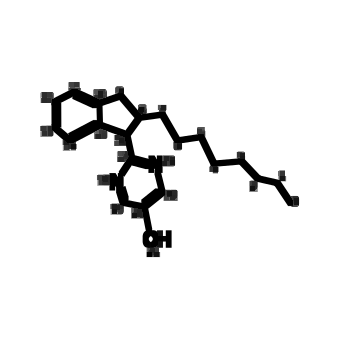 CCCCCCCCC1Cc2ccccc2C1c1ncc(O)cn1